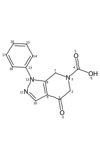 O=C1CN(C(=O)O)Cc2c1cnn2-c1ccccc1